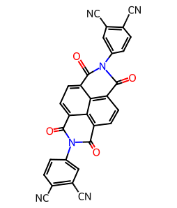 N#Cc1ccc(N2C(=O)c3ccc4c5c(ccc(c35)C2=O)C(=O)N(c2ccc(C#N)c(C#N)c2)C4=O)cc1C#N